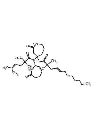 CCCCCCC/C=C/CC(C)(C)C(=O)N[C@]1(N(C(=O)C(C)(C)CC=C(C)C)[C@H]2CCCCC(=O)N2)CCCNC(=O)C1